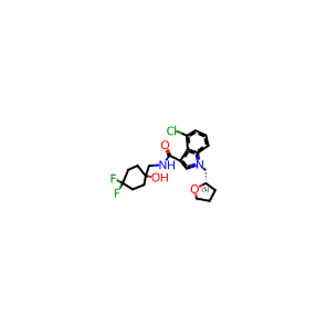 O=C(NCC1(O)CCC(F)(F)CC1)c1cn(C[C@@H]2CCCO2)c2cccc(Cl)c12